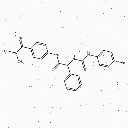 CN(C)C(=N)c1ccc(NC(=O)C(NC(=S)Nc2ccc(Br)cc2)c2ccccc2)cc1